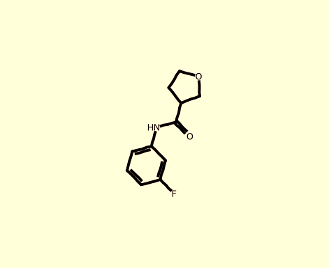 O=C(Nc1cccc(F)c1)C1CCOC1